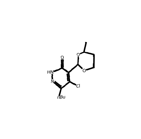 CCCCc1n[nH]c(=O)c(C2OCCC(C)O2)c1Cl